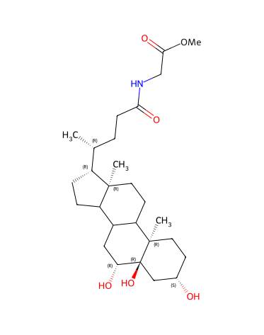 COC(=O)CNC(=O)CC[C@@H](C)[C@H]1CCC2C3C[C@@H](O)[C@@]4(O)C[C@@H](O)CC[C@]4(C)C3CC[C@@]21C